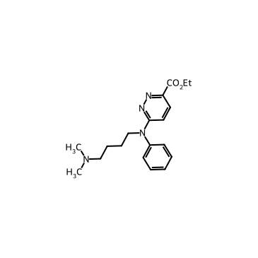 CCOC(=O)c1ccc(N(CCCCN(C)C)c2ccccc2)nn1